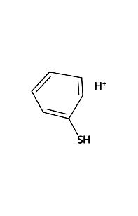 Sc1ccccc1.[H+]